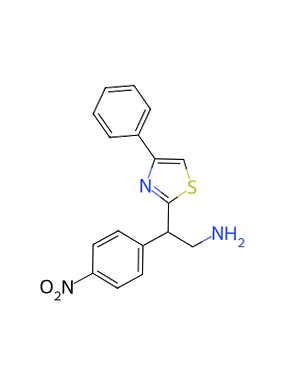 NCC(c1ccc([N+](=O)[O-])cc1)c1nc(-c2ccccc2)cs1